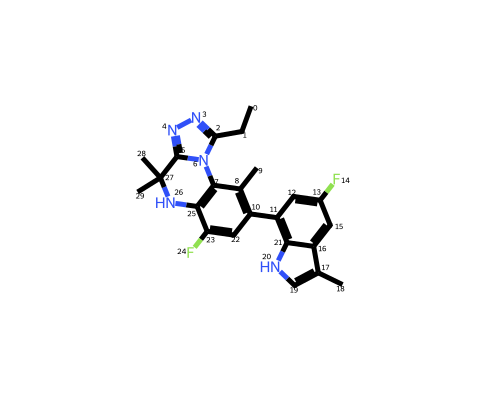 CCc1nnc2n1-c1c(C)c(-c3cc(F)cc4c(C)c[nH]c34)cc(F)c1NC2(C)C